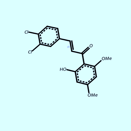 COc1cc(O)c(C(=O)/C=C/c2ccc(Cl)c(Cl)c2)c(OC)c1